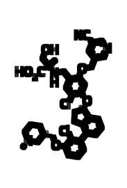 CN1CCC[C@H](COc2cccc(-c3cccc4c3CC[C@H]4Oc3cc(OCc4cncc(C#N)c4)c(CN[C@](C)(CO)C(=O)O)cc3Cl)c2Cl)C1